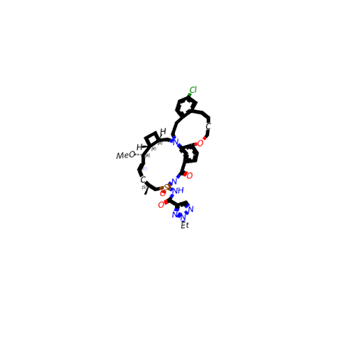 CCn1ncc(C(=O)NS2(=O)=NC(=O)c3ccc4c(c3)N(CCc3ccc(Cl)cc3CCCCO4)C[C@@H]3CC[C@H]3[C@@H](OC)/C=C/C[C@H](C)C2)n1